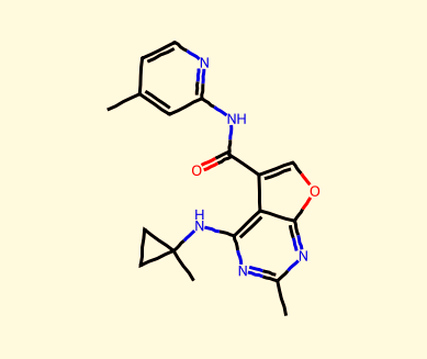 Cc1ccnc(NC(=O)c2coc3nc(C)nc(NC4(C)CC4)c23)c1